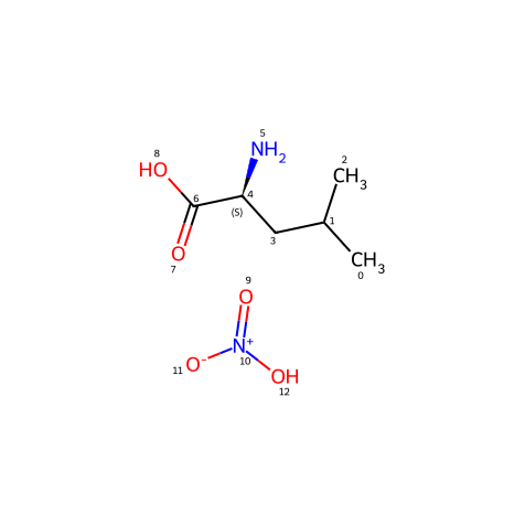 CC(C)C[C@H](N)C(=O)O.O=[N+]([O-])O